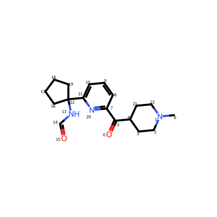 CN1CCC(C(=O)c2cccc(C3(NC=O)CCCC3)n2)CC1